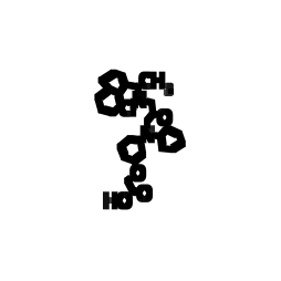 C[C@H](c1cccc2ccccc12)N(Cl)CC1CN(c2cccc(OCC(=O)O)c2)c2ccccc2O1